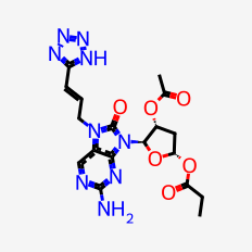 CCC(=O)O[C@H]1C[C@@H](OC(C)=O)[C@H](n2c(=O)n(C/C=C/c3nnn[nH]3)c3cnc(N)nc32)O1